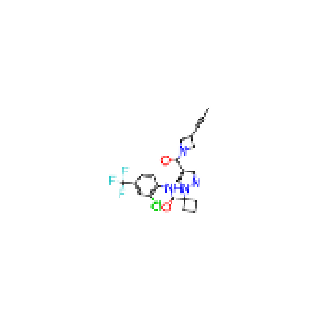 CC#CC1CN(C(=O)c2cnn(C3(C(=O)Nc4ccc(C(F)(F)F)cc4Cl)CCC3)c2)C1